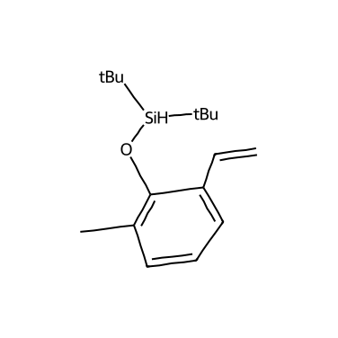 C=Cc1cccc(C)c1O[SiH](C(C)(C)C)C(C)(C)C